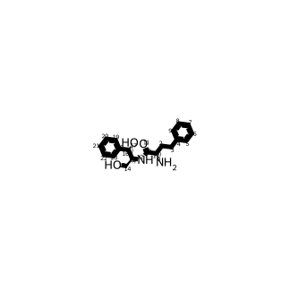 N[C@@H](CCc1ccccc1)C(=O)N[C@@H](CO)[C@@H](O)c1ccccc1